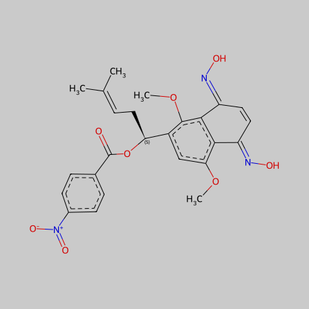 COc1cc([C@H](CC=C(C)C)OC(=O)c2ccc([N+](=O)[O-])cc2)c(OC)c2c1C(=NO)C=CC2=NO